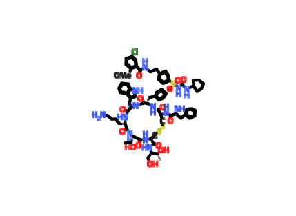 CC(O)[C@@H]1NC(=O)[C@H](CCCCN)NC(=O)[C@@H](Cc2c[nH]c3ccccc23)NC(=O)[C@H](Cc2ccccc2)NC(=O)[C@@H](NC(=O)[C@H](N)Cc2ccccc2)CSSC[C@@H](C(=O)N[C@H](CO)[C@@H](C)O)NC1=O.COc1ccc(Cl)cc1C(=O)NCCc1ccc(S(=O)(=O)NC(=O)NC2CCCCC2)cc1